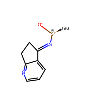 CC(C)(C)[S@+]([O-])N=C1CCc2ncccc21